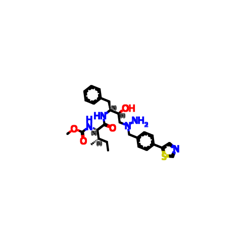 CC[C@H](C)[C@H](NC(=O)OC)C(=O)N[C@@H](Cc1ccccc1)[C@@H](O)CN(N)Cc1ccc(-c2cncs2)cc1